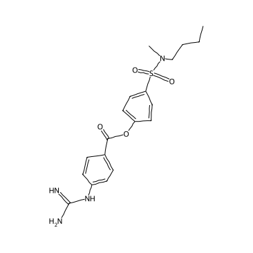 CCCCN(C)S(=O)(=O)c1ccc(OC(=O)c2ccc(NC(=N)N)cc2)cc1